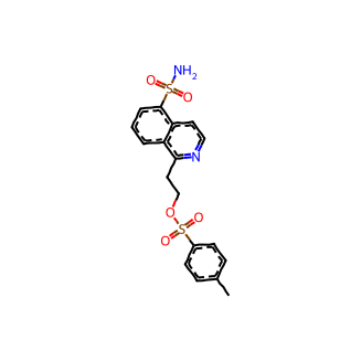 Cc1ccc(S(=O)(=O)OCCc2nccc3c(S(N)(=O)=O)cccc23)cc1